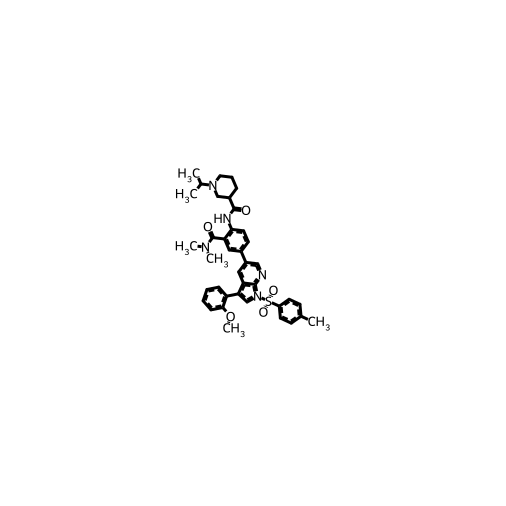 COc1ccccc1-c1cn(S(=O)(=O)c2ccc(C)cc2)c2ncc(-c3ccc(NC(=O)C4CCCN(C(C)C)C4)c(C(=O)N(C)C)c3)cc12